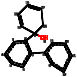 OC1(c2ccccc2-c2ccccc2)C=CC=CC1